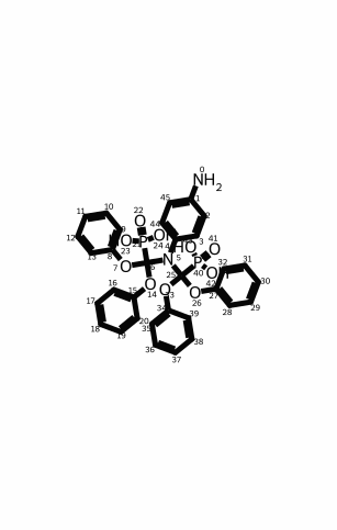 Nc1ccc(N(C(Oc2ccccc2)(Oc2ccccc2)P(=O)(O)O)C(Oc2ccccc2)(Oc2ccccc2)P(=O)(O)O)cc1